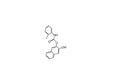 Cc1ccccc1NC(=O)Oc1cc2ccccc2cc1O